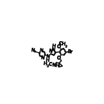 CNCC1(COc2cc(Br)cc(OC)c2-c2cc(Nc3cnc(C#N)cn3)n[nH]2)CC1